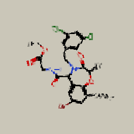 COc1cc(Br)cc2c1OC(C(C)C)C(=O)N(Cc1cc(Cl)cc(Cl)c1)C2C(=O)NCC(=O)OC(C)(C)C